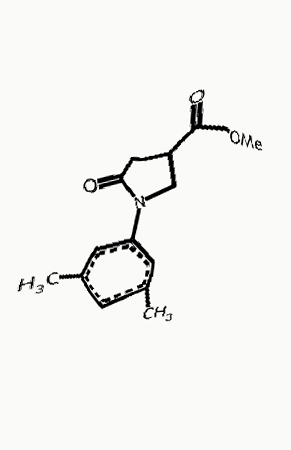 COC(=O)C1CC(=O)N(c2cc(C)cc(C)c2)C1